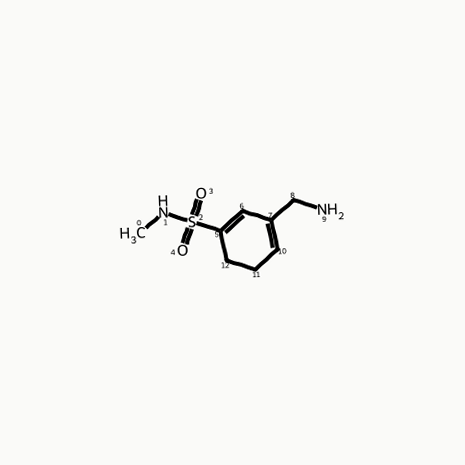 CNS(=O)(=O)C1=CC(CN)=CCC1